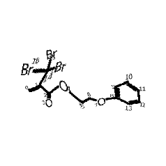 C=C(C(=O)OCCOc1ccccc1)C(Br)(Br)Br